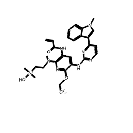 C=CC(=O)Nc1cc(Nc2nccc(-c3cn(C)c4ccccc34)n2)c(OCC(F)(F)F)nc1N(C)CC[N+](C)(C)O